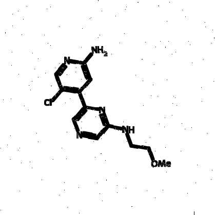 COCCNc1cncc(-c2cc(N)ncc2Cl)n1